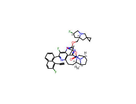 C#Cc1c(F)ccc2cccc(-c3nc4c5c(nc(OC[C@@]67C[C@@H](F)CN6CC6(CC6)C7)nc5c3F)N3C[C@H]5CC[C@@H]([C@H]3CC4)N5C(=O)OC(C)(C)C)c12